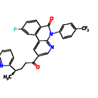 C[C@H](CCC(=O)c1cnc2c(c1)c1cc(F)ccc1c(=O)n2-c1ccc(C(F)(F)F)cc1)c1ccccn1